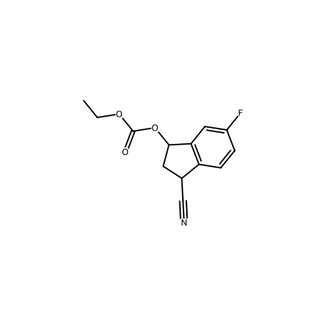 CCOC(=O)OC1CC(C#N)c2ccc(F)cc21